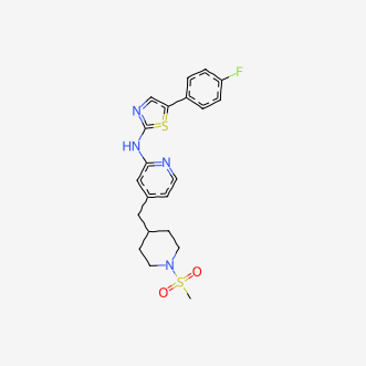 CS(=O)(=O)N1CCC(Cc2ccnc(Nc3ncc(-c4ccc(F)cc4)s3)c2)CC1